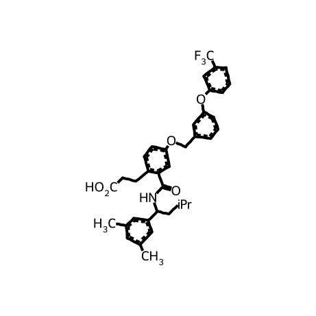 Cc1cc(C)cc(C(CC(C)C)NC(=O)c2cc(OCc3cccc(Oc4cccc(C(F)(F)F)c4)c3)ccc2CCC(=O)O)c1